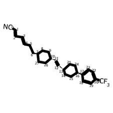 N#CC=CC=CCC[C@H]1CC[C@H](C=C[C@H]2CC[C@H](c3ccc(C(F)(F)F)cc3)CC2)CC1